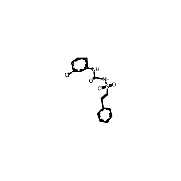 O=C(Nc1cccc(Cl)c1)NS(=O)(=O)C=Cc1ccccc1